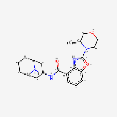 CN1C2CCCC1CC(NC(=O)c1cccc3oc(N4CCOC[C@@H]4C(C)(C)C)nc13)C2